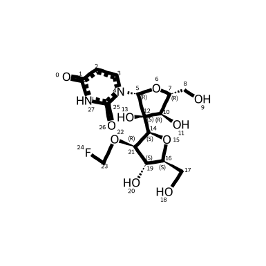 O=c1ccn([C@@H]2O[C@H](CO)[C@@H](O)[C@]2(O)[C@H]2O[C@@H](CO)[C@H](O)[C@H]2OCF)c(=O)[nH]1